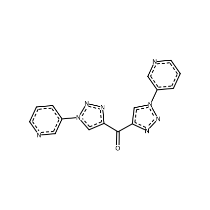 O=C(c1cn(-c2cccnc2)nn1)c1cn(-c2cccnc2)nn1